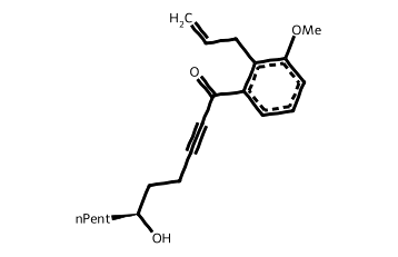 C=CCc1c(OC)cccc1C(=O)C#CCC[C@@H](O)CCCCC